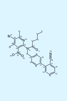 CCCCC(=O)N(Cc1ccc(-c2ccccc2C#N)cc1)c1nc(C)c(Br)c(C)c1[N+](=O)[O-]